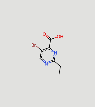 CCc1ncc(Br)c(C(=O)O)n1